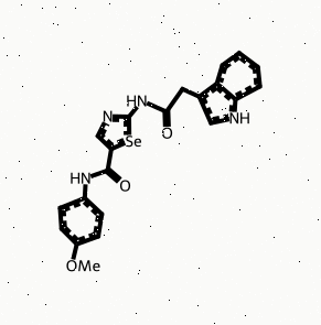 COc1ccc(NC(=O)c2cnc(NC(=O)Cc3c[nH]c4ccccc34)[se]2)cc1